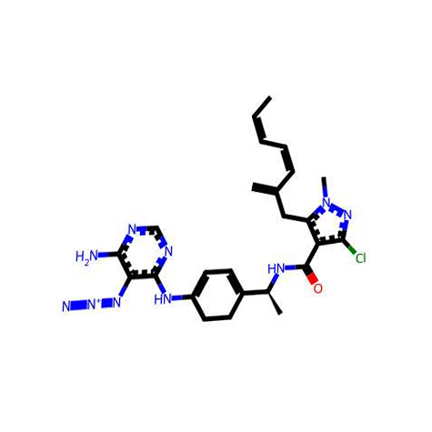 C=C(/C=C\C=C/C)Cc1c(C(=O)N[C@@H](C)C2=CC=C(Nc3ncnc(N)c3N=[N+]=[N-])CC2)c(Cl)nn1C